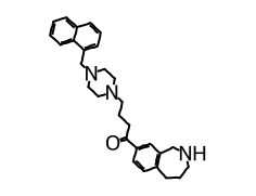 O=C(CCCN1CCN(Cc2cccc3ccccc23)CC1)c1ccc2c(c1)CNCCC2